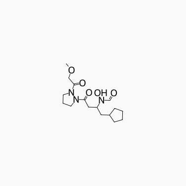 COCC(=O)N1CCCN1C(=O)CC(CC1CCCC1)N(O)C=O